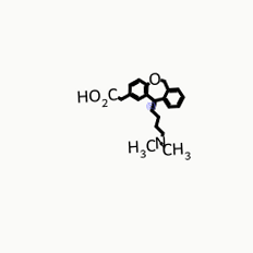 CN(C)CCC/C=C1\c2ccccc2COc2ccc(CC(=O)O)cc21